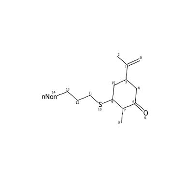 C=C(C)C1CC(=O)C(C)C(SCCCCCCCCCCCC)C1